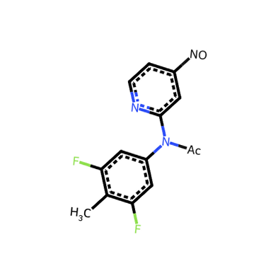 CC(=O)N(c1cc(F)c(C)c(F)c1)c1cc(N=O)ccn1